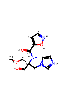 COC[C@@](C=O)(Cn1ccnc1)NC(=O)c1ccno1